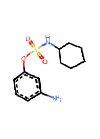 Nc1cccc(OS(=O)(=O)NC2CCCCC2)c1